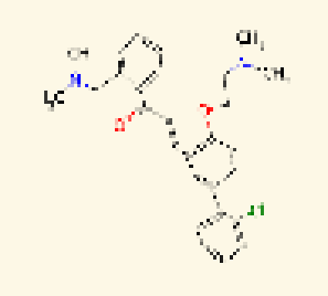 CN(C)CCOc1ccc(-c2ccccc2Cl)cc1C=CC(=O)c1ccccc1CN(C)C